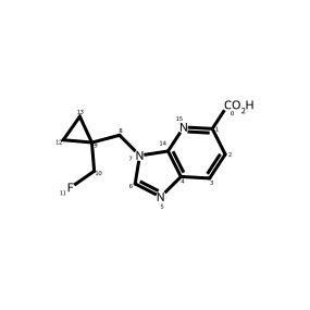 O=C(O)c1ccc2ncn(CC3(CF)CC3)c2n1